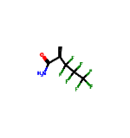 C=C(C(N)=O)C(F)(F)C(F)(F)C(F)(F)F